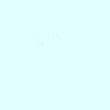 Cl.[Zn].c1ccc2[nH]ccc2c1